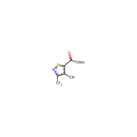 COC(=O)c1snc(C(F)(F)F)c1C#N